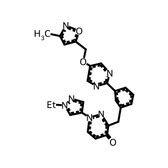 CCn1cc(-n2ccc(=O)c(Cc3cccc(-c4ncc(OCc5cc(C)no5)cn4)c3)n2)cn1